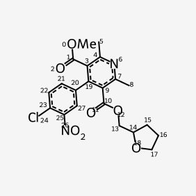 COC(=O)c1c(C)nc(C)c(C(=O)OCC2CCCO2)c1-c1ccc(Cl)c([N+](=O)[O-])c1